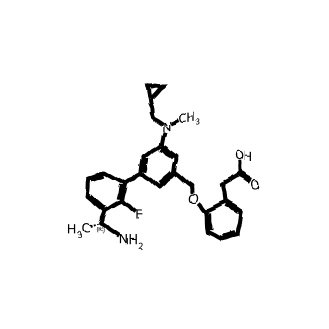 C[C@@H](N)c1cccc(-c2cc(COc3ccccc3CC(=O)O)cc(N(C)CC3CC3)c2)c1F